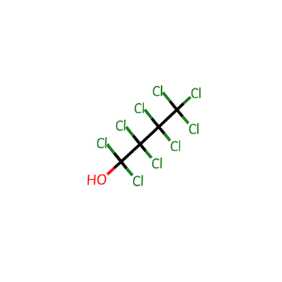 OC(Cl)(Cl)C(Cl)(Cl)C(Cl)(Cl)C(Cl)(Cl)Cl